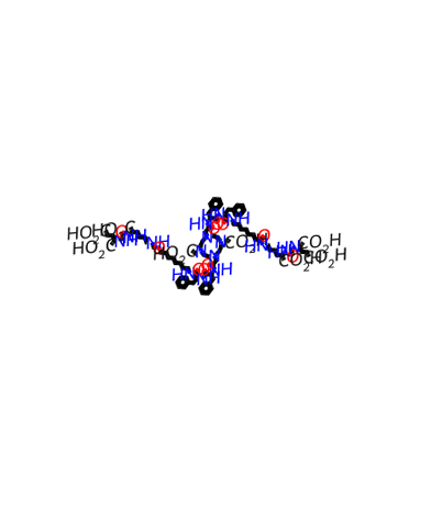 O=C(O)CCC(NC(=O)NC(CCCCNCOCCCCCCCCNC(=O)C(Cc1ccccc1)NC(=O)C(Cc1ccccc1)NC(=O)CN1CCN(CC(=O)O)CCN(CC(=O)NC(Cc2ccccc2)C(=O)NC(Cc2ccccc2)C(=O)NCCCCCCCC(=O)NCCCCC(NC(=O)NC(CCC(=O)O)C(=O)O)C(=O)O)CCN(CC(=O)O)CC1)C(=O)O)C(=O)O